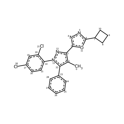 Cc1c(-c2nnc(C3CCC3)o2)nn(-c2ccc(Cl)cc2Cl)c1-c1ccccc1